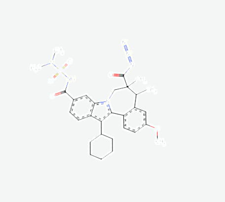 COc1ccc2c(c1)C(C)C(C)(C(=O)N=[N+]=[N-])Cn1c-2c(C2CCCCC2)c2ccc(C(=O)NS(=O)(=O)N(C)C)cc21